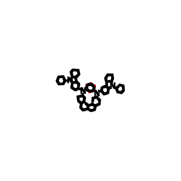 c1ccc(N(c2ccc3ccc4ccc5ccc(N(c6ccccc6)c6ccc7c(c6)c6ccccc6n7-c6ccccc6)cc5c4c3c2)c2ccc3c(c2)c2ccccc2n3-c2ccccc2)cc1